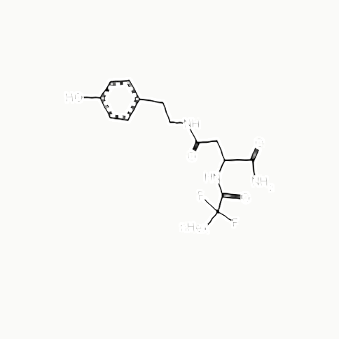 CCCCCCC(F)(F)C(=O)NC(CC(=O)NCCc1ccc(O)cc1)C(N)=O